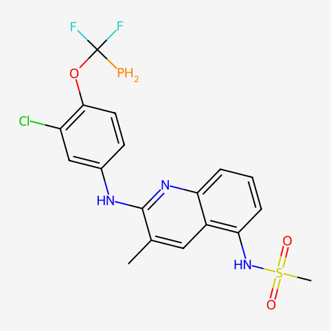 Cc1cc2c(NS(C)(=O)=O)cccc2nc1Nc1ccc(OC(F)(F)P)c(Cl)c1